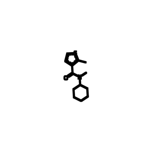 Cc1sccc1C(=O)N(C)C1CCCCC1